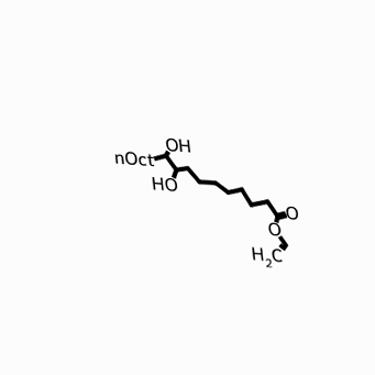 C=COC(=O)CCCCCCCC(O)C(O)CCCCCCCC